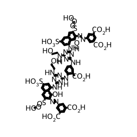 O=C(O)c1cc(N=Nc2c(SOOO)cc3cc(S(=O)(=O)O)cc(Nc4nc(NCCO)nc(Nc5ccc(Nc6nc(NCCO)nc(Nc7cc(S(=O)(=O)O)cc8cc(SOOO)c(N=Nc9cc(C(=O)O)cc(C(=O)O)c9)c(O)c78)n6)c(C(=O)O)c5)n4)c3c2O)cc(C(=O)O)c1